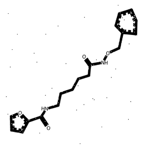 O=C(CCCCCNC(=O)c1ccco1)NOCc1ccccc1